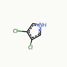 Clc1c[nH]cc1Cl